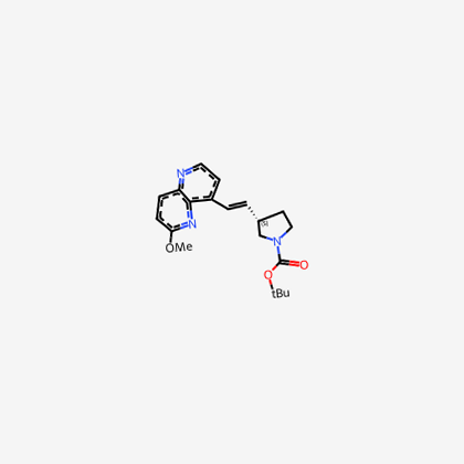 COc1ccc2nccc(C=C[C@@H]3CCN(C(=O)OC(C)(C)C)C3)c2n1